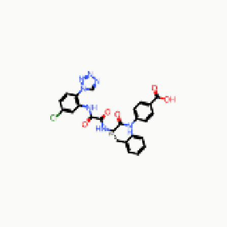 O=C(Nc1cc(Cl)ccc1-n1cnnn1)C(=O)N[C@@H](Cc1ccccc1)C(=O)Nc1ccc(C(=O)O)cc1